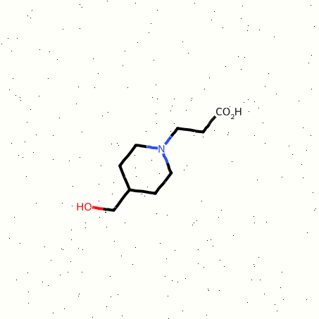 O=C(O)CCN1CCC(CO)CC1